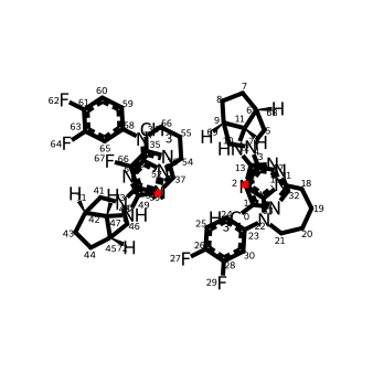 Cc1cc(N2C[C@H]3CC[C@@H](C2)[C@H]3Nc2nc3n(n2)CCCCN3c2ccc(F)c(F)c2)ncn1.Cc1ncnc(N2C[C@H]3CC[C@@H](C2)[C@H]3Nc2nc3n(n2)CCCN3c2ccc(F)c(F)c2)c1F